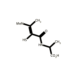 CN/C(C)=C(\S)C(=O)NC(C)C(=O)O